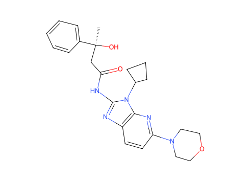 C[C@](O)(CC(=O)Nc1nc2ccc(N3CCOCC3)nc2n1C1CCC1)c1ccccc1